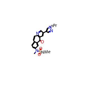 CCCn1cc(-c2cnc3ccc4ccc(N(C)S(=O)(=O)NC)cc4c(=O)c3c2)cn1